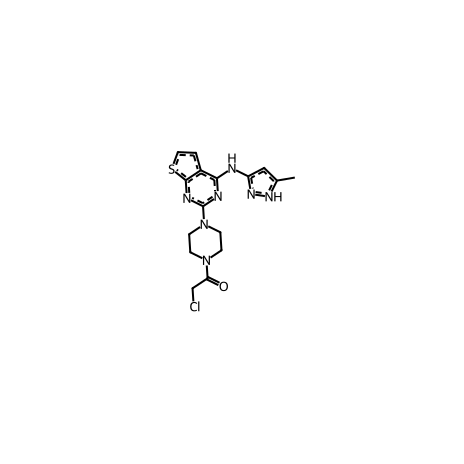 Cc1cc(Nc2nc(N3CCN(C(=O)CCl)CC3)nc3sccc23)n[nH]1